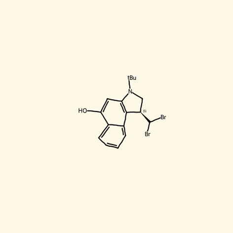 CC(C)(C)N1C[C@@H](C(Br)Br)c2c1cc(O)c1ccccc21